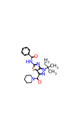 CC(C)(C)n1nc(C(=O)N2CCCCC2)c2sc(NC(=O)c3ccccc3)nc21